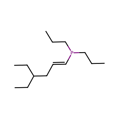 CCCP(C=CCC(CC)CC)CCC